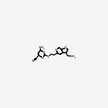 N#Cc1cc(N)nc(SCCc2cc3c(CN)coc3cn2)n1